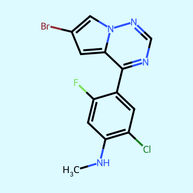 CNc1cc(F)c(-c2ncnn3cc(Br)cc23)cc1Cl